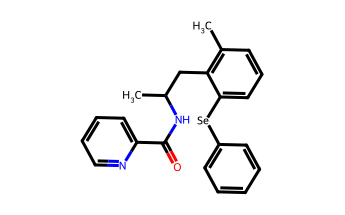 Cc1cccc([Se]c2ccccc2)c1CC(C)NC(=O)c1ccccn1